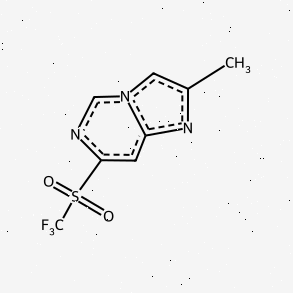 Cc1cn2cnc(S(=O)(=O)C(F)(F)F)cc2n1